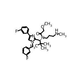 CNCCCN(C(=O)COC)[C@@H](c1nc(-c2cccc(F)c2)cn1Cc1cccc(F)c1)C(C)(C)C